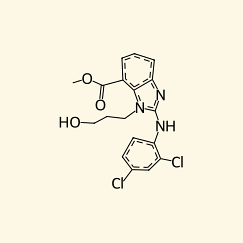 COC(=O)c1cccc2nc(Nc3ccc(Cl)cc3Cl)n(CCCO)c12